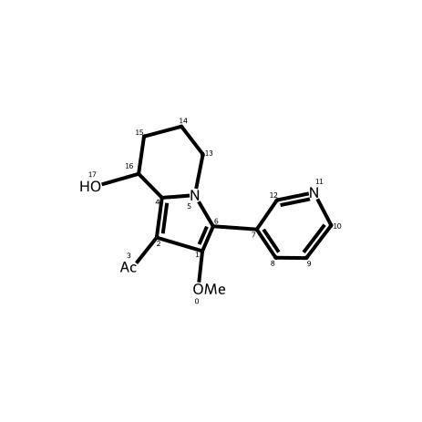 COc1c(C(C)=O)c2n(c1-c1cccnc1)CCCC2O